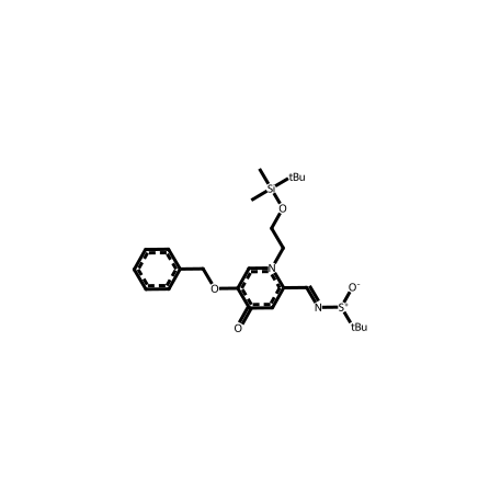 CC(C)(C)[S+]([O-])N=Cc1cc(=O)c(OCc2ccccc2)cn1CCO[Si](C)(C)C(C)(C)C